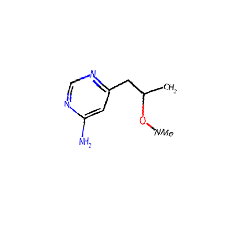 CNOC(C)Cc1cc(N)ncn1